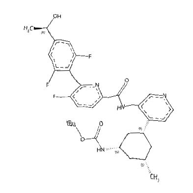 C[C@@H]1C[C@H](NC(=O)OC(C)(C)C)C[C@H](c2ccncc2NC(=O)c2ccc(F)c(-c3c(F)cc([C@@H](C)O)cc3F)n2)C1